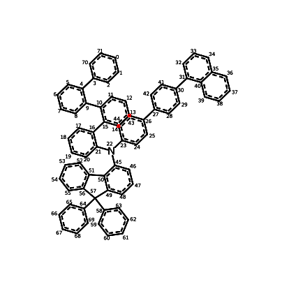 c1ccc(-c2ccccc2-c2ccccc2-c2ccccc2N(c2ccc(-c3ccc(-c4cccc5ccccc45)cc3)cc2)c2cccc3c2-c2ccccc2C3(c2ccccc2)c2ccccc2)cc1